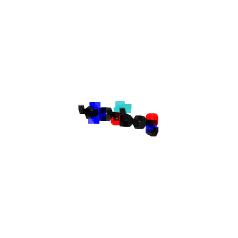 CCc1cnc(N2CCC(COc3ccc(C4=CCC(C(=O)N5CCC5)CC4)cc3C(F)(F)F)CC2)nc1